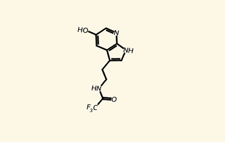 O=C(NCCc1c[nH]c2ncc(O)cc12)C(F)(F)F